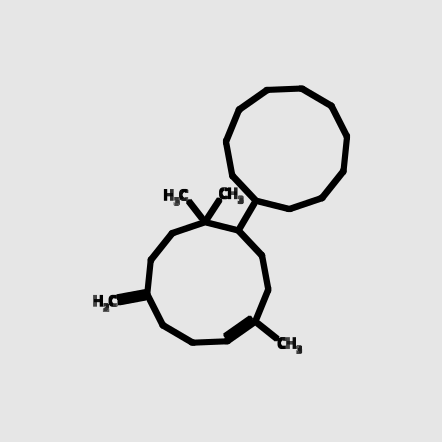 C=C1CCC=C(C)CCC(C2CCCCCCCCCC2)C(C)(C)CC1